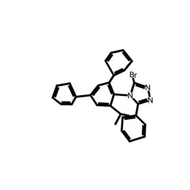 CC(C)c1cc(-c2ccccc2)cc(-c2ccccc2)c1-n1c(Br)nnc1-c1ccccc1